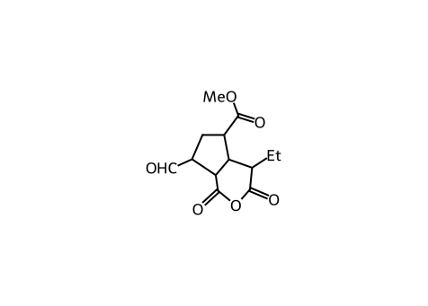 CCC1C(=O)OC(=O)C2C(C=O)CC(C(=O)OC)C12